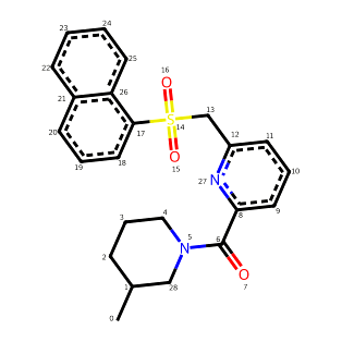 CC1CCCN(C(=O)c2cccc(CS(=O)(=O)c3cccc4ccccc34)n2)C1